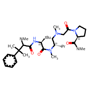 CNC(=O)[C@@H]1CCCN1C(=O)CN(C)C[C@H](C(C)C)N(C)C(=O)[C@@H](NC(=O)C(NC)C(C)(C)c1ccccc1)C(C)(C)C